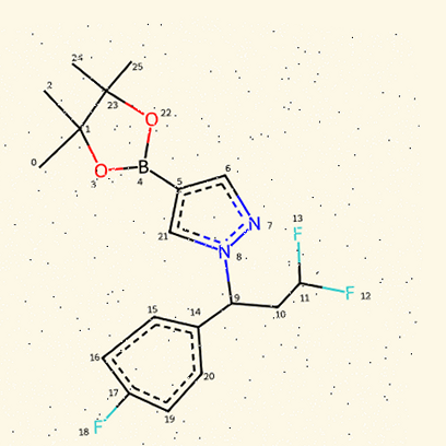 CC1(C)OB(c2cnn(C(CC(F)F)c3ccc(F)cc3)c2)OC1(C)C